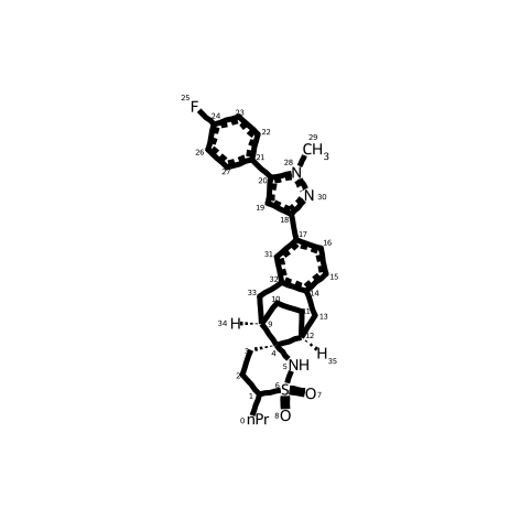 CCCC1CC[C@]2(NS1(=O)=O)[C@@H]1CC[C@H]2Cc2ccc(-c3cc(-c4ccc(F)cc4)n(C)n3)cc2C1